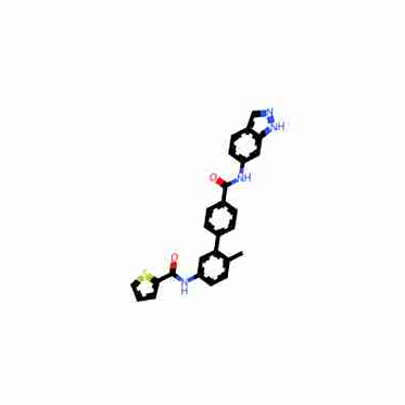 Cc1ccc(NC(=O)c2cccs2)cc1-c1ccc(C(=O)Nc2ccc3cn[nH]c3c2)cc1